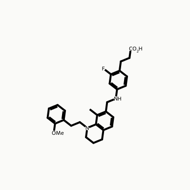 COc1ccccc1CCN1CCCc2ccc(CNc3ccc(CCC(=O)O)c(F)c3)c(C)c21